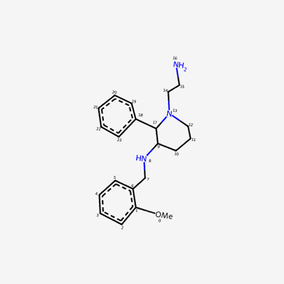 COc1ccccc1CNC1CCCN(CCN)C1c1ccccc1